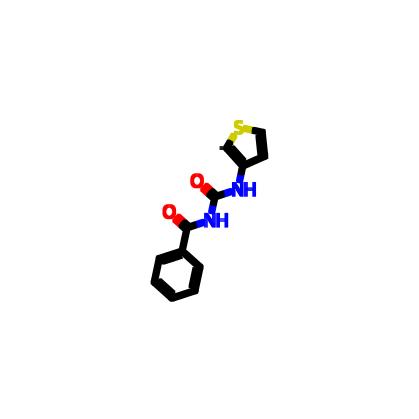 O=C(NC(=O)c1ccccc1)Nc1[c]scc1